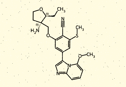 CC[C@@H]1OCC[C@]1(N)COc1cc(-c2cnc3cccc(OC)n23)cc(SC)c1C#N